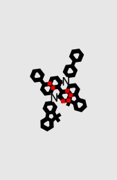 CC1(C)c2ccccc2-c2ccc(N(c3ccc(-c4ccccc4)cc3)c3ccccc3-c3ccccc3N(c3ccc(-c4ccccc4)cc3)c3ccc4c(c3)C(C)(C)c3ccccc3-4)cc21